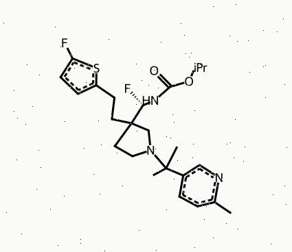 Cc1ccc(C(C)(C)N2CCC(CCc3ccc(F)s3)([C@H](F)NC(=O)OC(C)C)C2)cn1